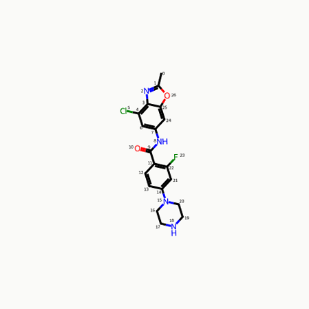 Cc1nc2c(Cl)cc(NC(=O)c3ccc(N4CCNCC4)cc3F)cc2o1